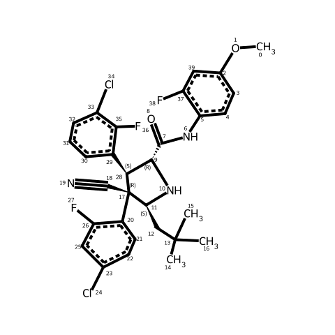 COc1ccc(NC(=O)[C@@H]2N[C@@H](CC(C)(C)C)[C@](C#N)(c3ccc(Cl)cc3F)[C@H]2c2cccc(Cl)c2F)c(F)c1